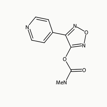 CNC(=O)Oc1nonc1-c1ccncc1